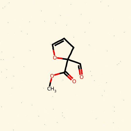 COC(=O)C1(C=O)CC=CO1